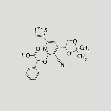 CC1(C)OCC(c2cc(-c3cccs3)nc(OC(C(=O)O)c3ccccc3)c2C#N)O1